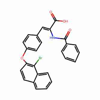 O=C(O)C(=Cc1ccc(Oc2ccc3ccccc3c2Br)cc1)NC(=O)c1ccccc1